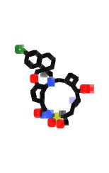 C[C@@H]1C/C=C/C(O)C2CCC2CN2C[C@@]3(CCCc4cc(Cl)ccc43)COc3ccc(cc32)C(=O)NS1(=O)=O